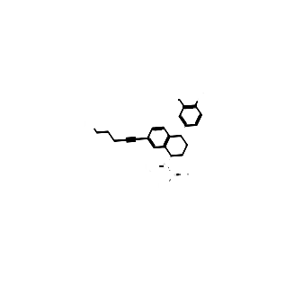 CB(O)N(C)[C@H]1CC[C@@H](c2ccc(Cl)c(Cl)c2)c2ccc(C#CCCCO)cc21